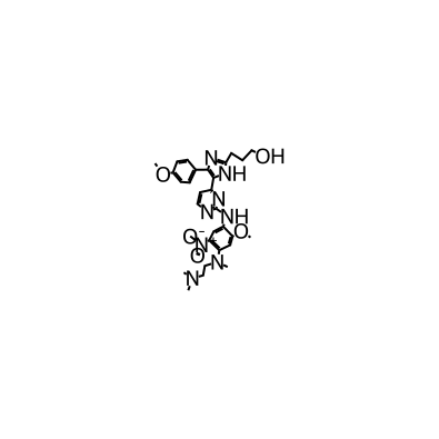 COc1ccc(-c2nc(CCCO)[nH]c2-c2ccnc(Nc3cc([N+](=O)[O-])c(N(C)CCN(C)C)cc3OC)n2)cc1